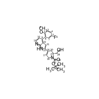 COc1ccc(F)cc1-c1ccnc2[nH]c(C3=CCN(C(=O)OC(C)(C)C)[C@H](CO)C3)cc12